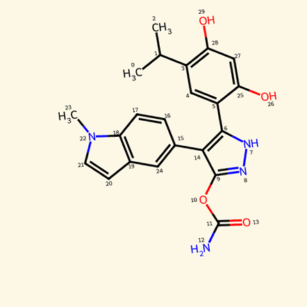 CC(C)c1cc(-c2[nH]nc(OC(N)=O)c2-c2ccc3c(ccn3C)c2)c(O)cc1O